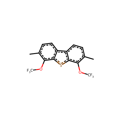 Cc1ccc2c(sc3c(OC(F)(F)F)c(C)ccc32)c1OC(F)(F)F